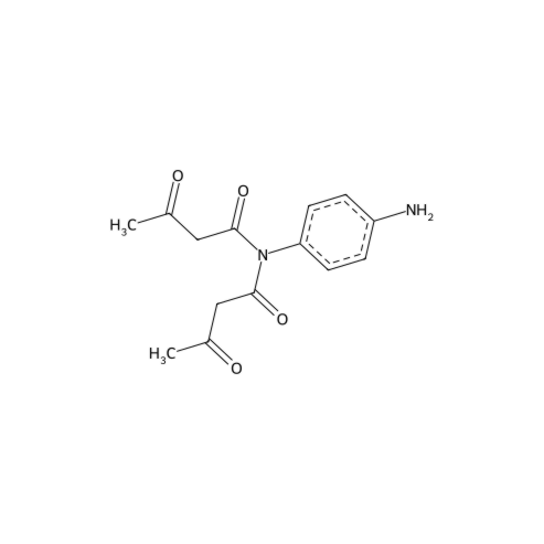 CC(=O)CC(=O)N(C(=O)CC(C)=O)c1ccc(N)cc1